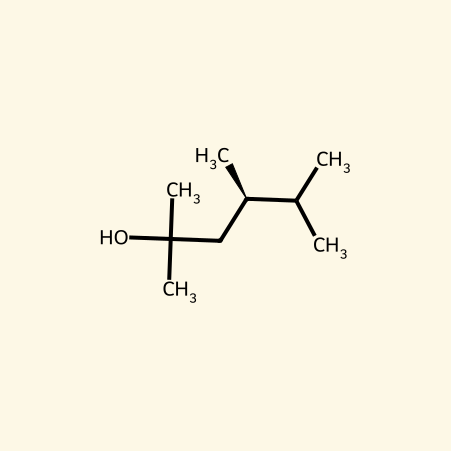 CC(C)[C@H](C)CC(C)(C)O